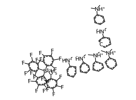 C[NH+](C)c1ccccc1.C[NH+](C)c1ccccc1.C[NH+](C)c1ccccc1.C[NH+](C)c1ccccc1.C[NH+](C)c1ccccc1.C[NH+](C)c1ccccc1.Fc1c(F)c(F)c(O[BH5-6](c2c(F)c(F)c(F)c(F)c2F)(c2c(F)c(F)c(F)c(F)c2F)c2c(F)c(F)c(F)c(F)c2F)c(F)c1F